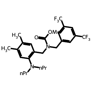 CCCN(CCC)c1cc(C)c(C)cc1CN(Cc1cc(C(F)(F)F)cc(C(F)(F)F)c1)C(=O)OC